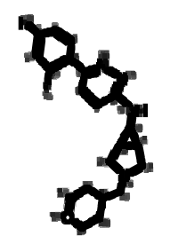 Fc1ccc(-c2ccc(NC3C4CN(CC5CCOCC5)CC43)nn2)c(F)c1